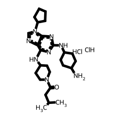 CC(C)CC(=O)N1CCC(Nc2nc(NC3CCC(N)CC3)nc3c2ncn3C2CCCC2)CC1.Cl.Cl